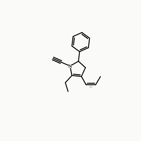 C#CN1C(CC)=C(/C=C\C)CC1c1ccccc1